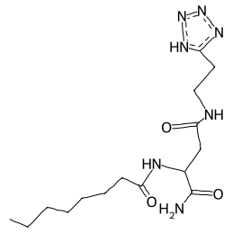 CCCCCCCC(=O)NC(CC(=O)NCCc1nnn[nH]1)C(N)=O